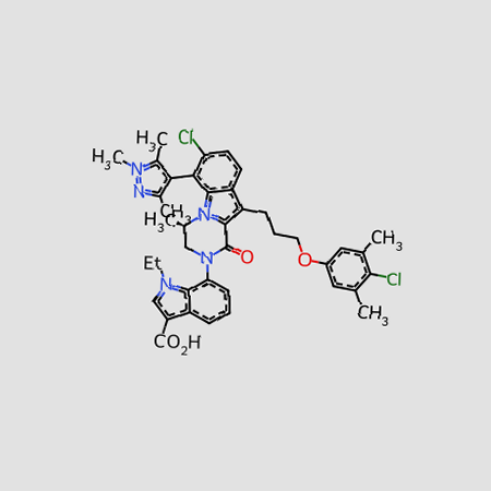 CCn1cc(C(=O)O)c2cccc(N3C[C@@H](C)n4c(c(CCCOc5cc(C)c(Cl)c(C)c5)c5ccc(Cl)c(-c6c(C)nn(C)c6C)c54)C3=O)c21